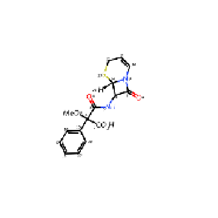 COC(C(=O)O)(C(=O)NC1C(=O)N2C=CCS[C@@H]12)c1ccccc1